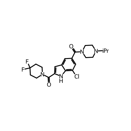 CC(C)N1CCN(C(=O)c2cc(Cl)c3[nH]c(C(=O)N4CCC(F)(F)CC4)cc3c2)CC1